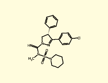 CN(C(=N)N1C[C@H](c2ccccc2)C(c2ccc(Cl)cc2)=N1)S(=O)(=O)N1CCCCC1